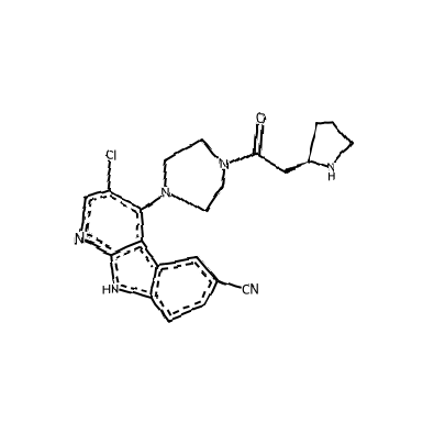 N#Cc1ccc2[nH]c3ncc(Cl)c(N4CCN(C(=O)C[C@H]5CCCN5)CC4)c3c2c1